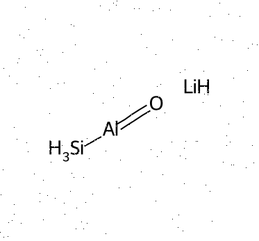 [LiH].[O]=[Al][SiH3]